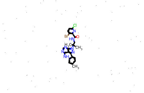 Cc1ccc(-c2nn(C(C)(C)CNC(=O)c3nc(Cl)ccc3Br)c3ncnc(N)c23)cc1